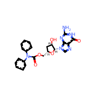 Nc1nc2c(ncn2[C@@H]2O[C@H](COC(=O)N(c3ccccc3)c3ccccc3)C[C@H]2O)c(=O)[nH]1